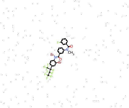 CN(C(=O)c1cccc(F)c1)c1cccc(C(=O)N(Br)c2ccc(C(F)(C(F)(F)F)C(F)(F)C(F)(F)F)cc2Br)c1